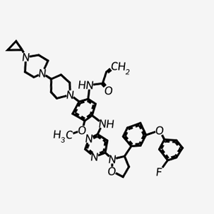 C=CC(=O)Nc1cc(Nc2cc(N3OCCC3c3cccc(Oc4cccc(F)c4)c3)ncn2)c(OC)cc1N1CCC(N2CCN(C3CC3)CC2)CC1